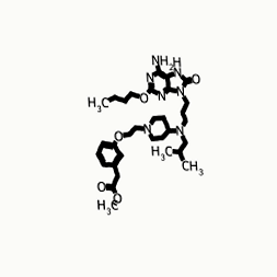 CCCCOc1nc(N)c2[nH]c(=O)n(CCCN(CC(C)C)C3CCN(CCOc4cccc(CC(=O)OC)c4)CC3)c2n1